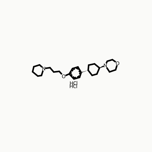 Cl.Cl.c1cc([C@H]2CC[C@H](N3CCOCC3)CC2)ccc1OCCCN1CCCCC1